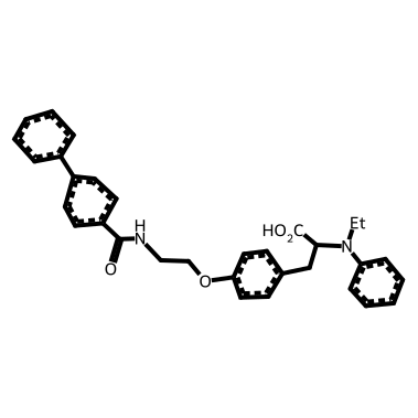 CCN(c1ccccc1)C(Cc1ccc(OCCNC(=O)c2ccc(-c3ccccc3)cc2)cc1)C(=O)O